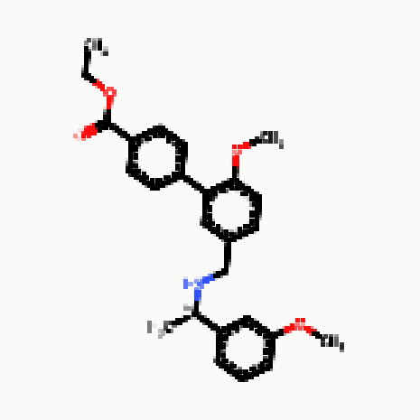 CCOC(=O)c1ccc(-c2cc(CN[C@H](C)c3cccc(OC)c3)ccc2OC)cc1